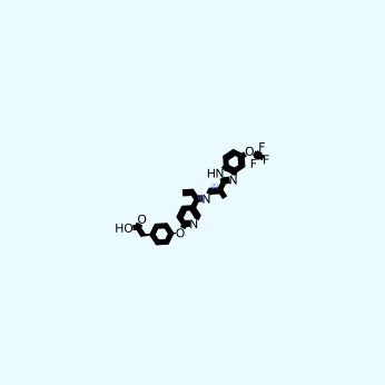 C=C/C(=N\C=C(/C)c1nc2cc(OC(F)(F)F)ccc2[nH]1)c1ccc(O[C@H]2CC[C@H](CC(=O)O)CC2)nc1